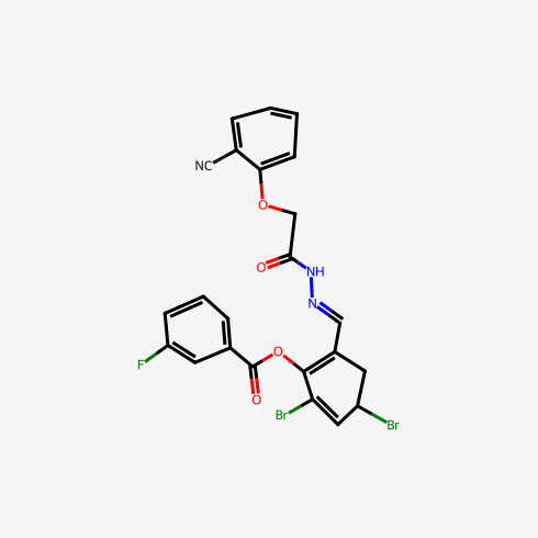 N#Cc1ccccc1OCC(=O)N/N=C/C1=C(OC(=O)c2cccc(F)c2)C(Br)=CC(Br)C1